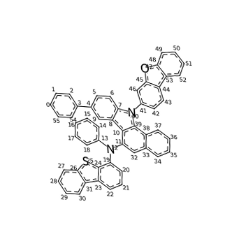 c1ccc(-c2ccc3c(c2)c2c(N(c4ccccc4)c4cccc5c4sc4ccccc45)cc4ccccc4c2n3-c2ccc3c(c2)oc2ccccc23)cc1